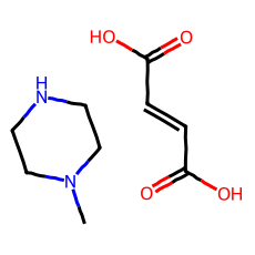 CN1CCNCC1.O=C(O)C=CC(=O)O